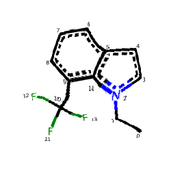 CCn1ccc2cccc(C(F)(F)F)c21